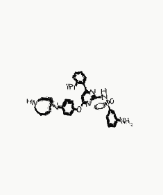 CC(C)c1ccccc1-c1cc(Oc2ccc(N3CCNCC3)cc2)nc(NS(=O)(=O)c2cccc(N)c2)n1